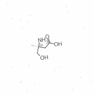 C[C@@](N)(CO)CC(=O)O